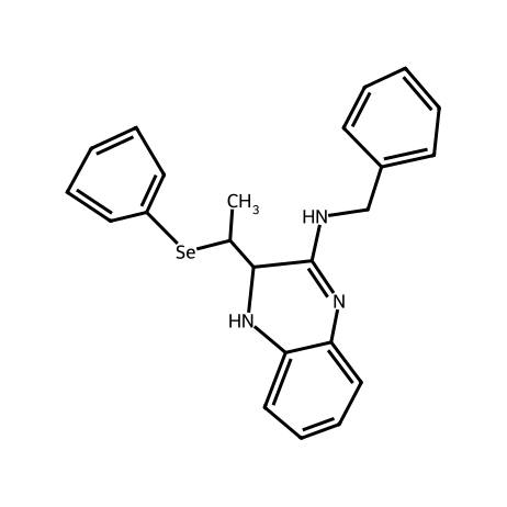 CC([Se]c1ccccc1)C1Nc2ccccc2N=C1NCc1ccccc1